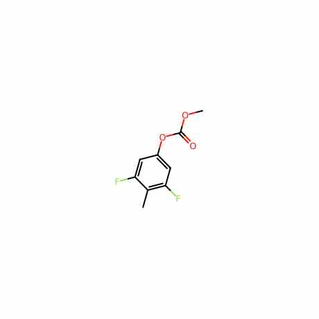 COC(=O)Oc1cc(F)c(C)c(F)c1